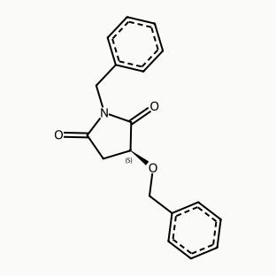 O=C1C[C@H](OCc2ccccc2)C(=O)N1Cc1ccccc1